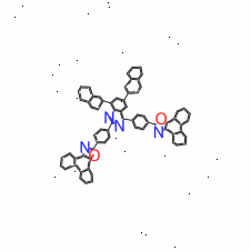 c1ccc2cc(-c3cc(-c4ccc5ccccc5c4)c4nc(-c5ccc(-c6nc7c8ccccc8c8ccccc8c7o6)cc5)nc(-c5ccc(-c6nc7c8ccccc8c8ccccc8c7o6)cc5)c4c3)ccc2c1